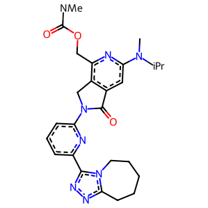 CNC(=O)OCc1nc(N(C)C(C)C)cc2c1CN(c1cccc(-c3nnc4n3CCCCC4)n1)C2=O